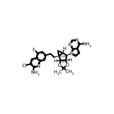 CC1(C)O[C@H]2[C@H](n3ccc4c(N)ncnc43)[C@H]3C[C@@]3(CCc3cc(F)c4cc(Cl)c(N)nc4c3)[C@H]2O1